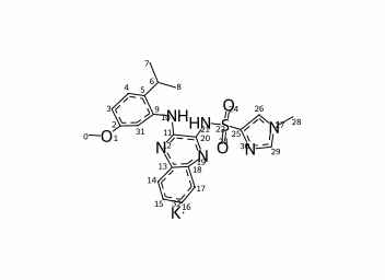 COc1ccc(C(C)C)c(Nc2nc3ccccc3nc2NS(=O)(=O)c2cn(C)cn2)c1.[K]